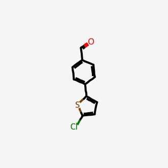 O=Cc1ccc(-c2ccc(Cl)s2)cc1